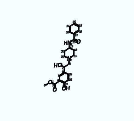 COC(=O)c1cc(C(O)CN2CCC(NC(=O)c3ccccc3)CC2)ccc1O